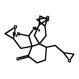 NC(N)C1(CC2CO2)C(=O)CCC(CC2CO2)C1(CC1CO1)CC1CO1